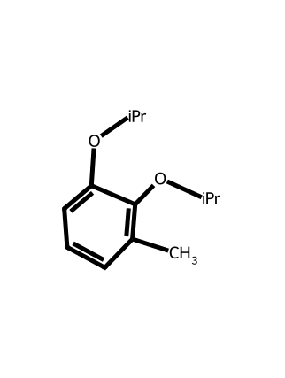 Cc1cccc(OC(C)C)c1OC(C)C